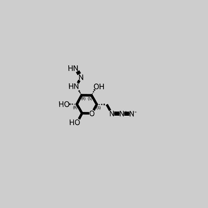 [N-]=[N+]=NC[C@@H]1OC(O)[C@H](O)[C@H](NN=N)[C@@H]1O